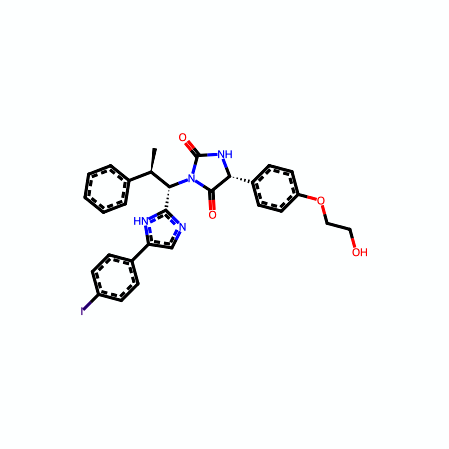 C[C@H](c1ccccc1)[C@@H](c1ncc(-c2ccc(I)cc2)[nH]1)N1C(=O)N[C@H](c2ccc(OCCO)cc2)C1=O